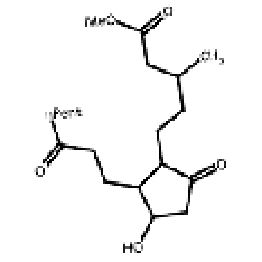 CCCCCC(=O)CCC1C(O)CC(=O)C1CCC(C)CC(=O)OC